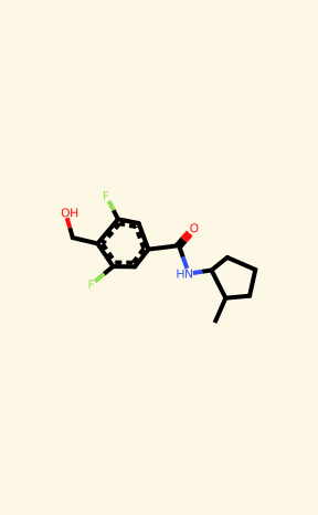 CC1CCCC1NC(=O)c1cc(F)c(CO)c(F)c1